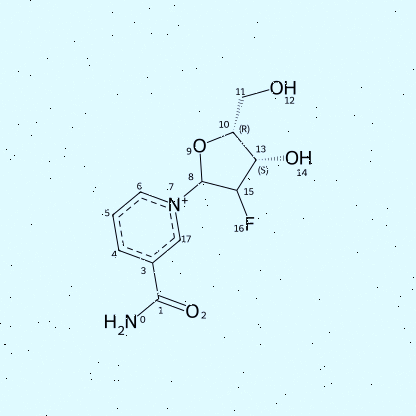 NC(=O)c1ccc[n+](C2O[C@H](CO)[C@H](O)C2F)c1